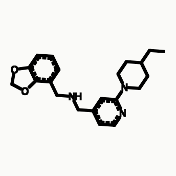 CCC1CCN(c2cc(CNCc3cccc4c3OCO4)ccn2)CC1